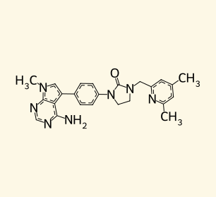 Cc1cc(C)nc(CN2CCN(c3ccc(-c4cn(C)c5ncnc(N)c45)cc3)C2=O)c1